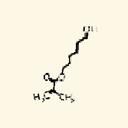 C=C(C)C(=O)OCCCCCCO